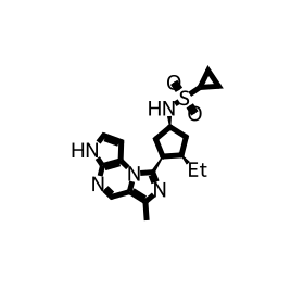 CC[C@@H]1C[C@H](NS(=O)(=O)C2CC2)C[C@@H]1c1nc(C)c2cnc3[nH]ccc3n12